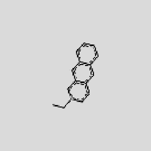 CCc1ccc2cc3ccccc3[c]c2c1